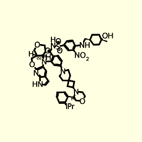 CC(C)c1ccccc1[C@@H]1COCCN1C1CC2(CCN(c3ccc(C(=O)NS(=O)(=O)c4ccc(NC[C@H]5CC[C@](C)(O)CC5)c([N+](=O)[O-])c4)c(N4c5cc6cc[nH]c6nc5OC[C@@H]5COCC[C@H]54)c3)CC2)C1